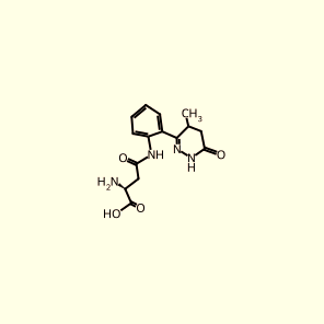 CC1CC(=O)NN=C1c1ccccc1NC(=O)C[C@H](N)C(=O)O